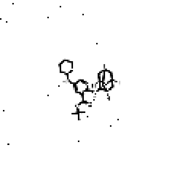 CC(C)(C)OC(=O)c1cc(NC2CCCCC2)cnc1NC1[C@H]2C[C@@H]3C[C@@H](C[C@H]1C3)C2